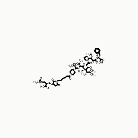 CC[C@H](C)[C@@H]([C@@H](CC(=O)N1CCC[C@H]1[C@H](OC)[C@@H](C)C(=O)N[C@@H](Cc1ccccc1)C(=O)O)OC)N(C)C(=O)[C@@H](/N=C(\N(C)C)N1CCN(C(=O)CCCCCN2C(=O)CC(SC[C@H](CNC(C)=O)C(=O)O)C2=O)CC1)C(C)C